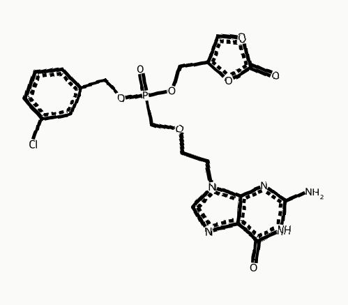 Nc1nc2c(ncn2CCOCP(=O)(OCc2cccc(Cl)c2)OCc2coc(=O)o2)c(=O)[nH]1